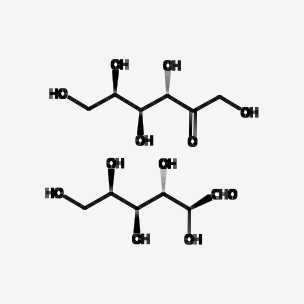 O=C(CO)[C@@H](O)[C@@H](O)[C@H](O)CO.O=C[C@@H](O)[C@@H](O)[C@@H](O)[C@H](O)CO